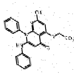 Cc1cc(SCC(=O)O)c2c(=O)cc(Nc3ccccc3)n(-c3ccccc3)c2n1